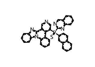 S=P(c1ccc2ccccc2c1)(c1ncc2ccccc2n1)c1cncc2c1c1ccccc1n1c3ccccc3nc21